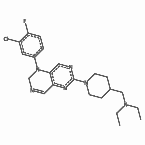 CCN(CC)CC1CCN(c2ncc3c(n2)C=NCN3c2ccc(F)c(Cl)c2)CC1